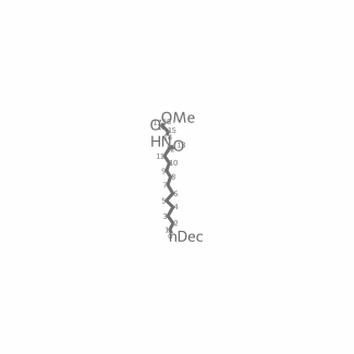 CCCCCCCCCCCCCCCCCCCCCC(=O)NCC(=O)OC